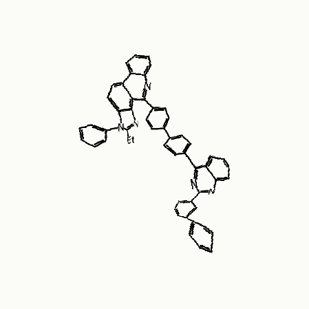 CCc1nc2c3c(-c4ccc(-c5ccc(-c6nc(-c7cccc(-c8ccccc8)c7)nc7ccccc67)cc5)cc4)nc4ccccc4c3ccc2n1-c1ccccc1